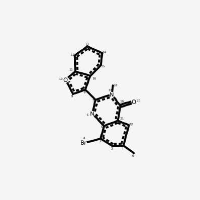 Cc1cc(Br)c2nc(-c3coc4ccccc34)n(C)c(=O)c2c1